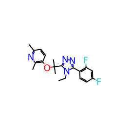 CCn1c(-c2ccc(F)cc2F)nnc1C(C)(C)Oc1ccc(C)nc1C